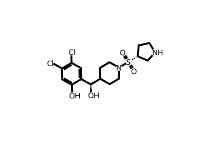 O=S(=O)([C@@H]1CCNC1)N1CCC([C@@H](O)c2cc(Cl)c(Cl)cc2O)CC1